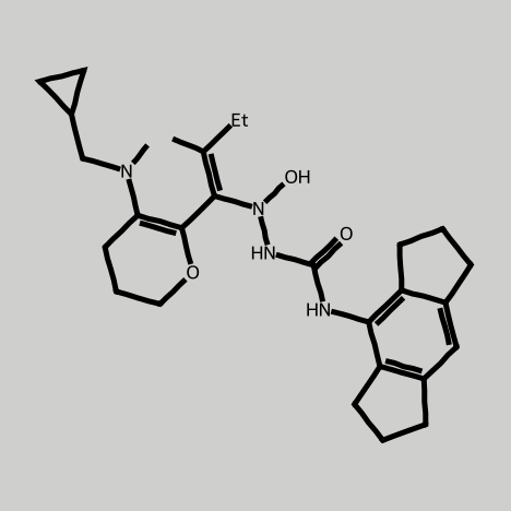 CC/C(C)=C(/C1=C(N(C)CC2CC2)CCCO1)N(O)NC(=O)Nc1c2c(cc3c1CCC3)CCC2